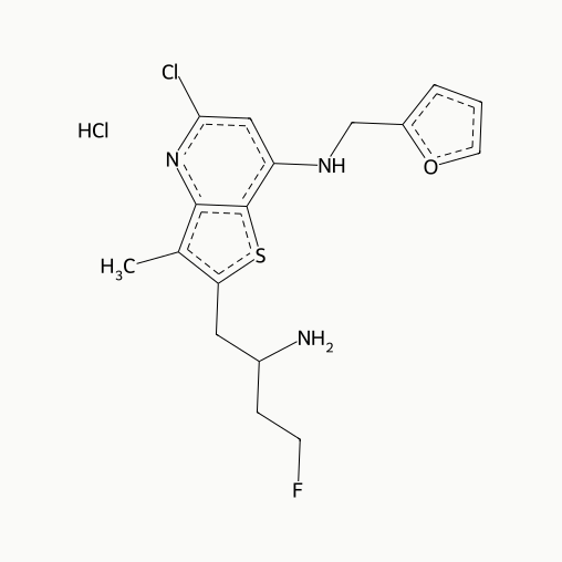 Cc1c(CC(N)CCF)sc2c(NCc3ccco3)cc(Cl)nc12.Cl